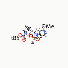 COc1nccc2c1CC([C@@H]1CCCN(C(=O)OC(C)(C)C)C1)N2S(C)(=O)=O